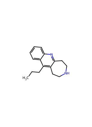 CCCc1c2c(nc3ccccc13)CCNCC2